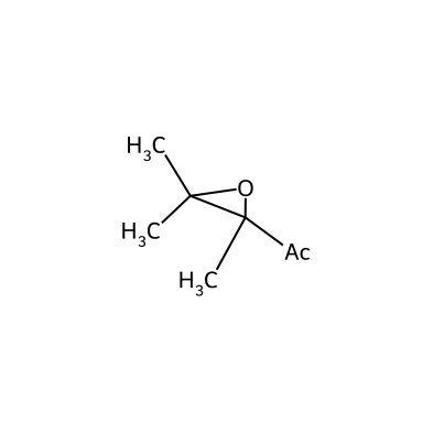 CC(=O)C1(C)OC1(C)C